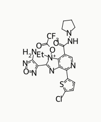 CC[N+]1(OC(=O)C(F)(F)F)C(c2nonc2N)=Nc2c(-c3ccc(Cl)s3)ncc(C(=O)NN3CCCC3)c21